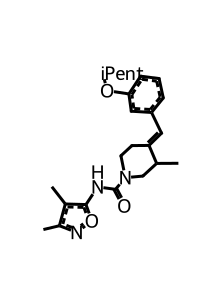 CCCC(C)Oc1cccc(C=C2CCN(C(=O)Nc3onc(C)c3C)CC2C)c1